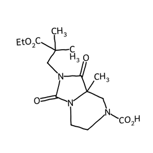 CCOC(=O)C(C)(C)CN1C(=O)N2CCN(C(=O)O)CC2(C)C1=O